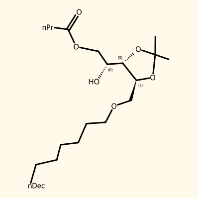 CCCCCCCCCCCCCCCCOC[C@@H]1OC(C)(C)O[C@H]1[C@H](O)COC(=O)CCC